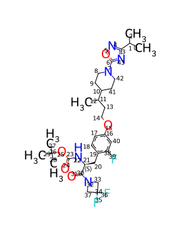 CC(C)c1noc(N2CCC(C(C)CCOc3ccc(C[C@H](NC(=O)OC(C)(C)C)C(=O)N4CC(F)(F)C4)c(F)c3)CC2)n1